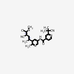 C=N/C(Cl)=C(C#N)\C=C(/C)c1cc(NC(=O)c2ccnc(C(C)(C)C#N)c2)cnc1C